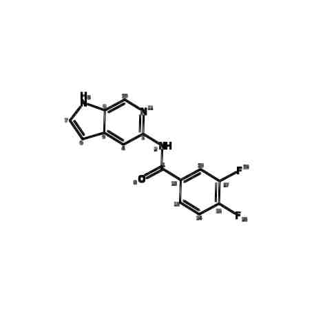 O=C(Nc1cc2cc[nH]c2cn1)c1ccc(F)c(F)c1